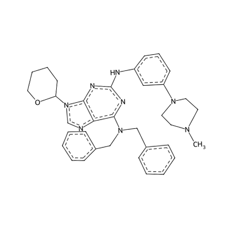 CN1CCN(c2cccc(Nc3nc(N(Cc4ccccc4)Cc4ccccc4)c4ncn(C5CCCCO5)c4n3)c2)CC1